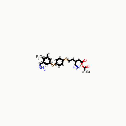 CCCCC(=O)OC(=O)CC(CN)CCSc1ccc(Sc2cc(C)c(C(F)(F)F)c(CN)c2)cc1